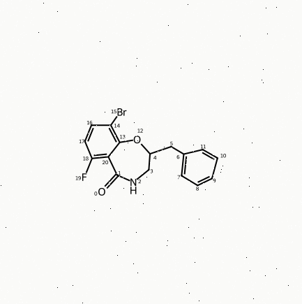 O=C1NCC(Cc2ccccc2)Oc2c(Br)ccc(F)c21